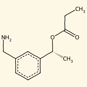 CCC(=O)O[C@H](C)c1cccc(CN)c1